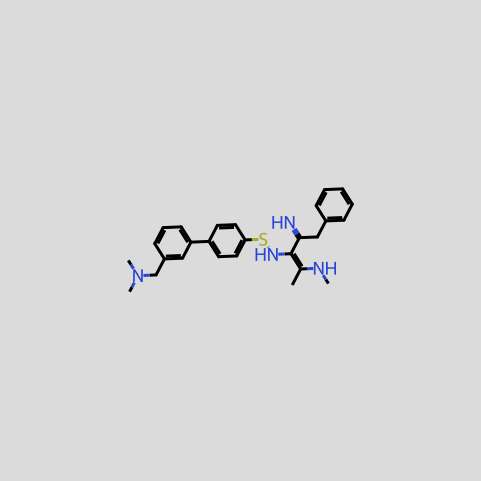 CN/C(C)=C(/NSc1ccc(-c2cccc(CN(C)C)c2)cc1)C(=N)Cc1ccccc1